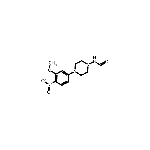 COc1cc(N2CCN(BC=O)CC2)ccc1[N+](=O)[O-]